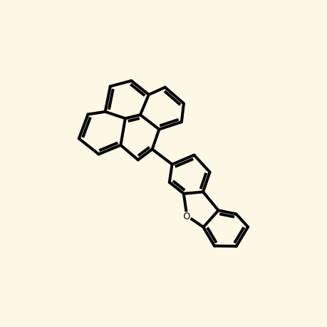 c1cc2ccc3cccc4c(-c5ccc6c(c5)oc5ccccc56)cc(c1)c2c34